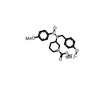 COc1ccc([S+]([O-])N(Cc2ccc(OC(F)(F)F)cc2)C2CCCN(C(=O)OC(C)(C)C)C2)cc1